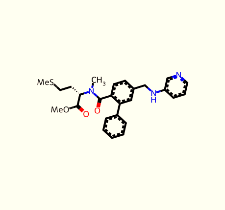 COC(=O)[C@H](CCSC)N(C)C(=O)c1ccc(CNc2cccnc2)cc1-c1ccccc1